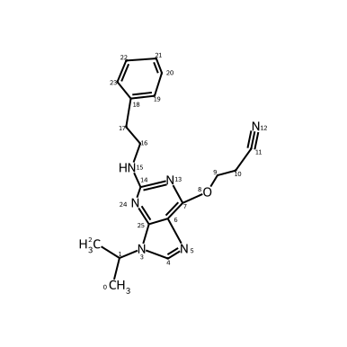 CC(C)n1cnc2c(OCCC#N)nc(NCCc3ccccc3)nc21